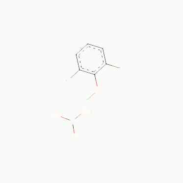 O=C(O)c1cccc(Br)c1OCl.[Li+].[O-]B(O)O